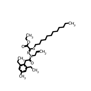 C=CCN(/N=C(\SCCCCCCCCCCCC)C(=O)OCC)C(=O)Cc1c(CC)cc(C)cc1CC